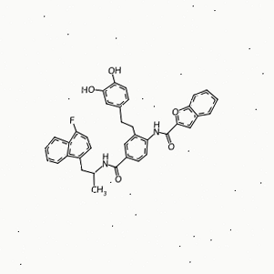 CC(Cc1ccc(F)c2ccccc12)NC(=O)c1ccc(NC(=O)c2cc3ccccc3o2)c(CCc2ccc(O)c(O)c2)c1